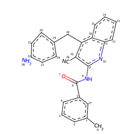 Cc1cccc(C(=O)Nc2nc3ccccc3c(Cc3ccccc3)c2C#N)c1.N